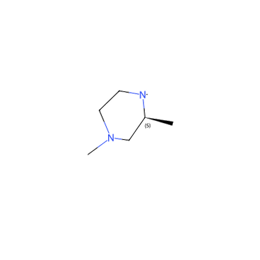 C[C@H]1CN(C)CC[N]1